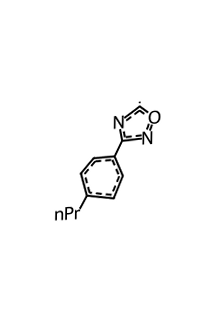 CCCc1ccc(-c2n[c]on2)cc1